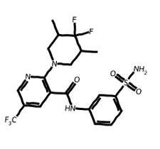 CC1CN(c2ncc(C(F)(F)F)cc2C(=O)Nc2cccc(S(N)(=O)=O)c2)CC(C)C1(F)F